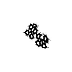 c1ccc(C2(c3ccccc3)c3ccccc3Oc3cc(-c4cccc(C5(c6ccccc6)c6ccccc6-c6ccc7ccccc7c65)c4)ccc32)cc1